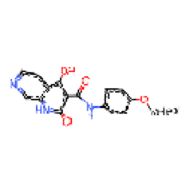 CCCCCCOc1ccc(NC(=O)c2c(O)c3ccncc3[nH]c2=O)cc1